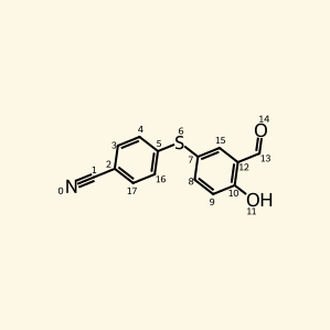 N#Cc1ccc(Sc2ccc(O)c(C=O)c2)cc1